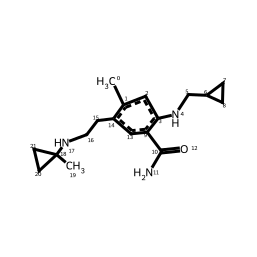 Cc1cc(NCC2CC2)c(C(N)=O)cc1CCNC1(C)CC1